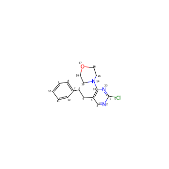 Clc1ncc(CCc2ccccc2)c(N2CCOCC2)n1